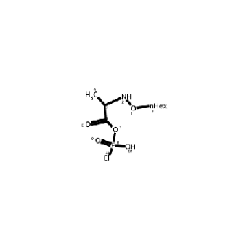 CCCCCCONC(C)C(=O)OP(=O)(O)Cl